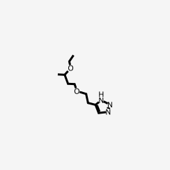 CCOC(C)CCOCCc1cnn[nH]1